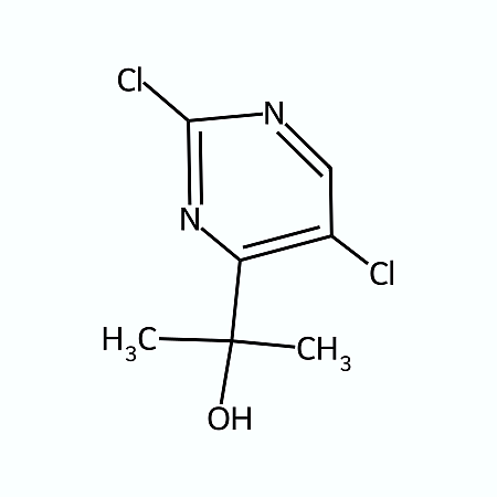 CC(C)(O)c1nc(Cl)ncc1Cl